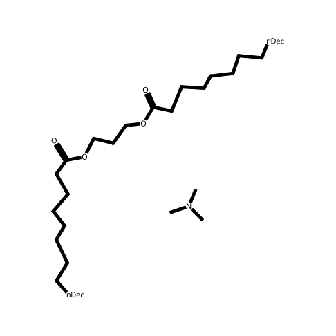 CCCCCCCCCCCCCCCCCC(=O)OCCCOC(=O)CCCCCCCCCCCCCCCCC.CN(C)C